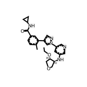 CCO[C@H]1COC[C@@H]1Nc1cncc(-n2cc(-c3cc(C(=O)NC4CC4)ccc3C)cn2)c1